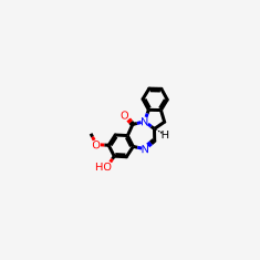 COc1cc2c(cc1O)N=C[C@@H]1Cc3ccccc3N1C2=O